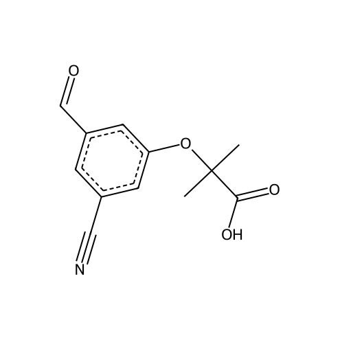 CC(C)(Oc1cc(C#N)cc(C=O)c1)C(=O)O